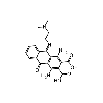 CN(C)CCN=C1c2ccccc2C(=O)c2c(N)c(C(=O)O)c(C(=O)O)c(N)c21